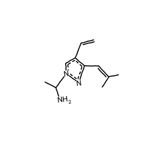 C=Cc1cn(C(C)N)nc1C=C(C)C